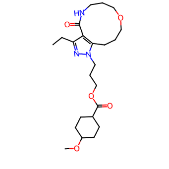 CCc1nn(CCCOC(=O)C2CCC(OC)CC2)c2c1C(=O)NCCCOCCC2